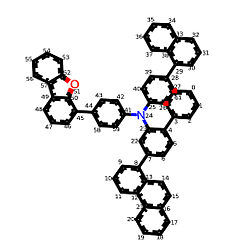 c1ccc(-c2ccc(-c3cccc4c3ccc3ccccc34)cc2N(c2ccc(-c3cccc4ccccc34)cc2)c2ccc(-c3cccc4c3oc3ccccc34)cc2)cc1